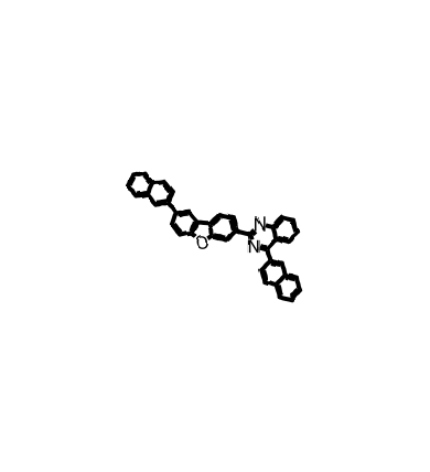 c1ccc2cc(-c3ccc4oc5cc(-c6nc(-c7ccc8ccccc8c7)c7ccccc7n6)ccc5c4c3)ccc2c1